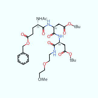 COCCOCCNC(=O)[C@H](CC(=O)OC(C)(C)C)NC(=O)[C@H](CC(=O)OC(C)(C)C)NC(=O)[C@H](CCC(=O)OCc1ccccc1)NC(C)=O